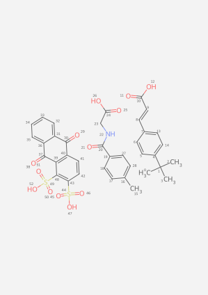 CC(C)(C)c1ccc(C=CC(=O)O)cc1.Cc1ccc(C(=O)NCC(=O)O)cc1.O=C1c2ccccc2C(=O)c2c1ccc(S(=O)(=O)O)c2S(=O)(=O)O